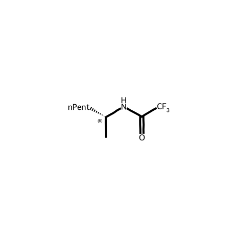 CCCCC[C@@H](C)NC(=O)C(F)(F)F